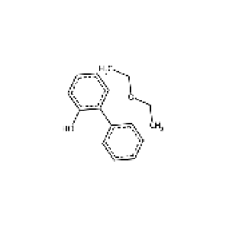 CCOCC.Oc1ccccc1-c1ccccc1